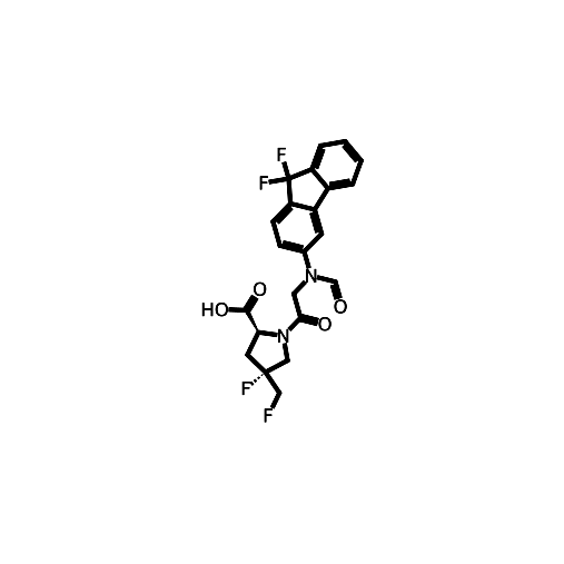 O=CN(CC(=O)N1C[C@@](F)(CF)C[C@H]1C(=O)O)c1ccc2c(c1)-c1ccccc1C2(F)F